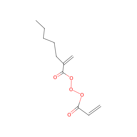 C=CC(=O)OOOC(=O)C(=C)CCCCC